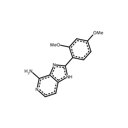 COc1ccc(-c2nc3c(N)nccc3[nH]2)c(OC)c1